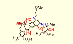 COCCC/N=C1\C=C(N[C@H]2O[C@@H](C)[C@H](OC)[C@@H](O)[C@H]2OC)C(=O)c2cc3c(c(O)c21)C(=O)C1(OC)C(O)Cc2cc(C)c(C(=O)O)c(O)c2C1(O)C3=O